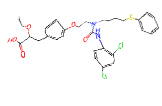 CCOC(Cc1ccc(OCCN(CCCCSc2ccccc2)C(=O)Nc2ccc(Cl)cc2Cl)cc1)C(=O)O